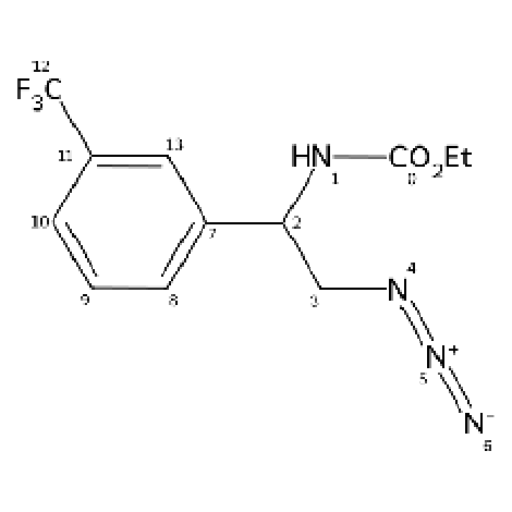 CCOC(=O)NC(CN=[N+]=[N-])c1cccc(C(F)(F)F)c1